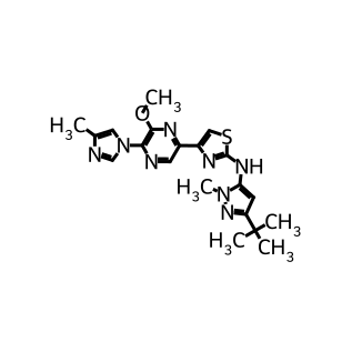 COc1nc(-c2csc(Nc3cc(C(C)(C)C)nn3C)n2)cnc1-n1cnc(C)c1